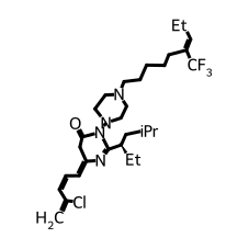 C=C(Cl)/C=C\C=C1/CC(=O)N(N2CCN(CCCCC/C(=C\CC)C(F)(F)F)CC2)C([C@H](CC)CC(C)C)=N1